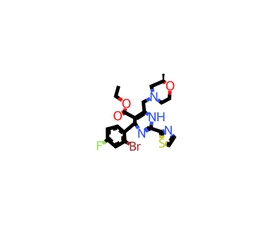 CCOC(=O)C1=C(CN2CCO[C@H](C)C2)NC(c2nccs2)=NC1c1ccc(F)cc1Br